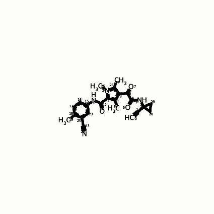 C#CC1(NC(=O)C(=O)c2c(C)c(C(=O)Nc3ccc(C)c(C#N)c3)n(C)c2C)CC1